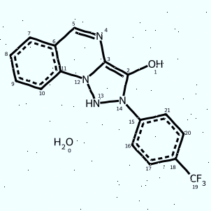 O.OC1=C2N=Cc3ccccc3N2NN1c1ccc(C(F)(F)F)cc1